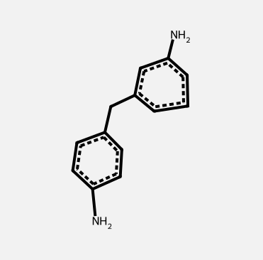 Nc1ccc(Cc2cccc(N)c2)cc1